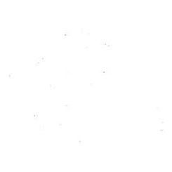 CCN(CCOc1ccc(O)cc1)c1ccc(C[P+](c2ccccc2)(c2ccccc2)c2ccccc2)cc1.[I-]